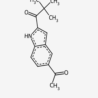 CC(=O)c1ccc2[nH]c(C(=O)C(C)(C)C)cc2c1